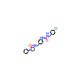 O=C(NCc1ccc(Cl)cc1)Nc1ccc(CN[C@H]2CCN(c3ccccc3)C2=O)cc1